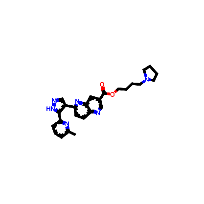 Cc1cccc(-c2[nH]ncc2-c2ccc3ncc(C(=O)OCCCCN4CCCC4)cc3n2)n1